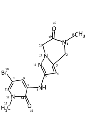 CN1Cc2cc(Nc3cc(Br)cn(C)c3=O)nn2CC1=O